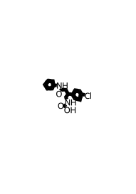 O=C(O)NCC(CC(=O)Nc1ccccc1)c1ccc(Cl)cc1